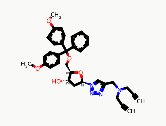 C#CCN(CC#C)Cc1cn([C@H]2C[C@H](O)[C@@H](COC(c3ccccc3)(c3ccc(OC)cc3)c3ccc(OC)cc3)O2)nn1